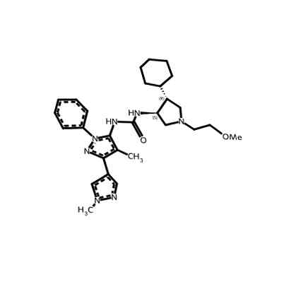 COCCN1C[C@@H](NC(=O)Nc2c(C)c(-c3cnn(C)c3)nn2-c2ccccc2)[C@H](C2CCCCC2)C1